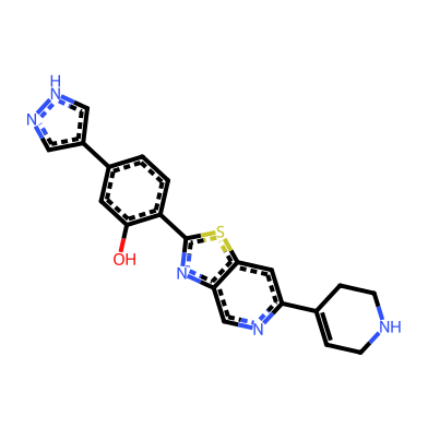 Oc1cc(-c2cn[nH]c2)ccc1-c1nc2cnc(C3=CCNCC3)cc2s1